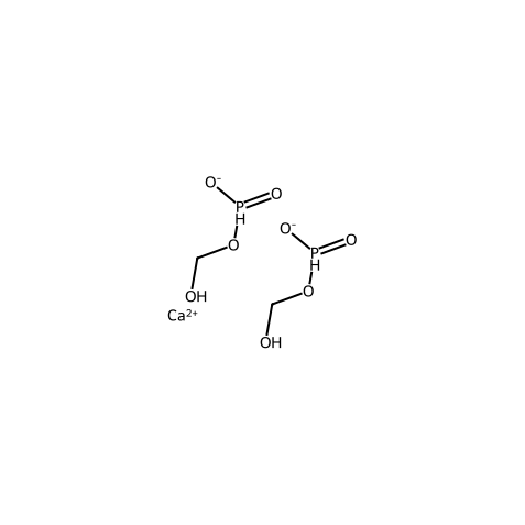 O=[PH]([O-])OCO.O=[PH]([O-])OCO.[Ca+2]